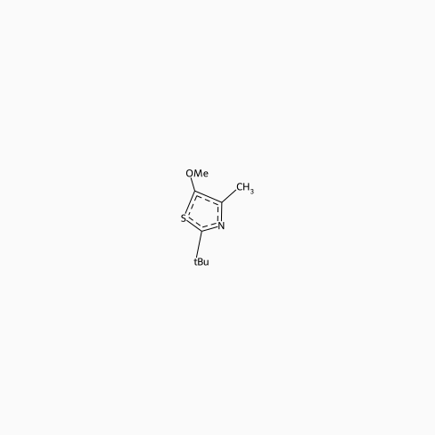 COc1sc(C(C)(C)C)nc1C